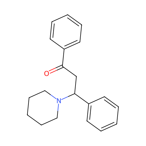 O=C(CC(c1ccccc1)N1CCCCC1)c1ccccc1